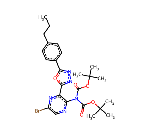 CCCc1ccc(-c2nnc(-c3nc(Br)cnc3N(C(=O)OC(C)(C)C)C(=O)OC(C)(C)C)o2)cc1